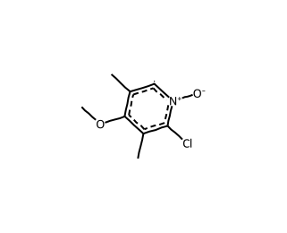 COc1c(C)[c][n+]([O-])c(Cl)c1C